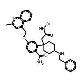 Cc1cc(COc2ccc(C(N)=O)c(C3(CC(=O)NO)CCC(NCc4ccccc4)CC3)c2)c2ccccc2n1